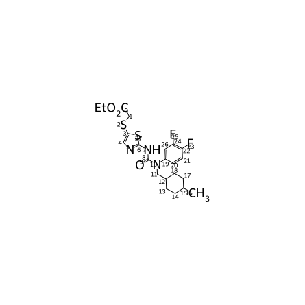 CCOC(=O)CSc1cnc(NC(=O)N(CC2CCC(C)CC2)c2ccc(F)c(F)c2)s1